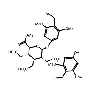 COC(=O)[C@H]1O[C@@H](Oc2cc(OC)c(CBr)c(OC)c2)[C@H](CC(=O)O)[C@@H](CC(=O)O)[C@@H]1CC(=O)O.COc1cc(O)cc(OC)c1CBr